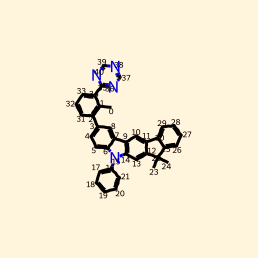 Cc1c(-c2ccc3c(c2)c2cc4c(cc2n3-c2ccccc2)C(C)(C)c2ccccc2-4)cccc1-c1ncncn1